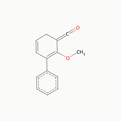 COC1=C(c2ccccc2)C=CCC1=C=O